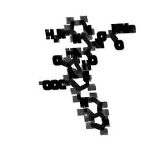 CNC(=O)O/N=C(/C(=O)NC1C(=O)N2C(C(=O)[O-])=C(C[n+]3ccc4sccc4c3)CS[C@H]12)c1nccc(N)n1